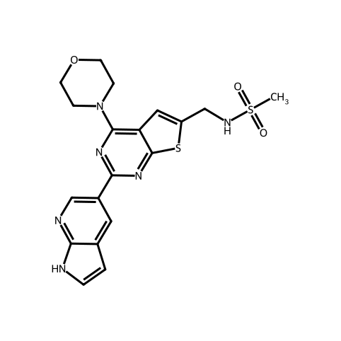 CS(=O)(=O)NCc1cc2c(N3CCOCC3)nc(-c3cnc4[nH]ccc4c3)nc2s1